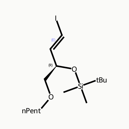 CCCCCOC[C@@H](/C=C/I)O[Si](C)(C)C(C)(C)C